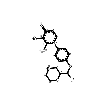 CCC(Oc1ccc(-n2ccc(=O)c(O)c2C)cc1)C1CNCCO1